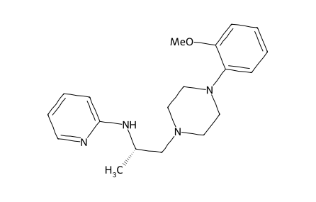 COc1ccccc1N1CCN(C[C@H](C)Nc2ccccn2)CC1